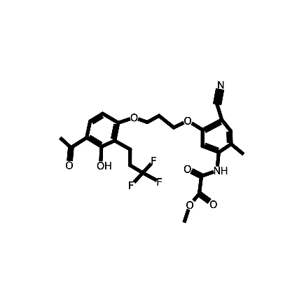 COC(=O)C(=O)Nc1cc(OCCCOc2ccc(C(C)=O)c(O)c2CCC(F)(F)F)c(C#N)cc1C